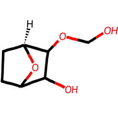 OCOC1C(O)C2CC[C@@H]1O2